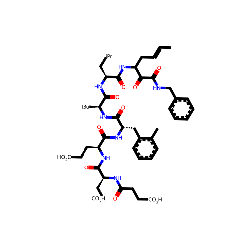 C/C=C/CC(NC(=O)[C@H](CC(C)C)NC(=O)[C@@H](NC(=O)[C@H](Cc1ccccc1C)NC(=O)[C@H](CCC(=O)O)NC(=O)[C@H](CC(=O)O)NC(=O)CCC(=O)O)C(C)(C)C)C(=O)C(=O)NCc1ccccc1